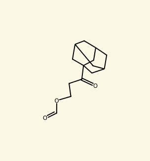 O=COCCC(=O)C12CC3CC(CC(C3)C1)C2